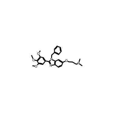 COc1cc(-c2nc3ccc(OCCCN(C)C)cc3n2Cc2ccccc2)cc(OC)c1OC